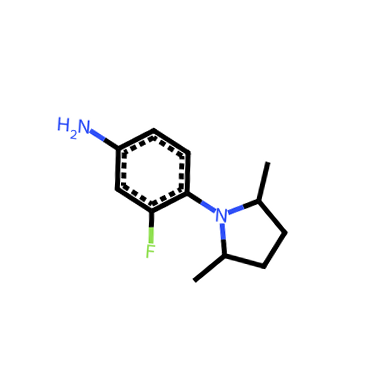 CC1CCC(C)N1c1ccc(N)cc1F